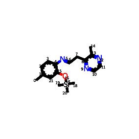 Cc1ccc(N=CCc2nccnc2C)c(O[Si](C)(C)C)c1